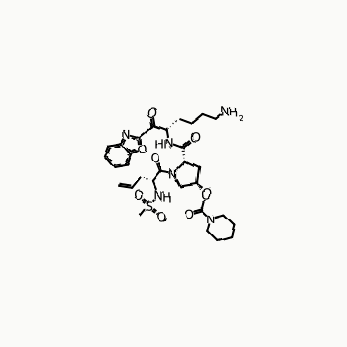 C=CC[C@@H](NS(C)(=O)=O)C(=O)N1C[C@H](OC(=O)N2CCCCC2)C[C@H]1C(=O)N[C@@H](CCCCN)C(=O)c1nc2ccccc2o1